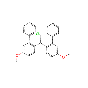 COc1ccc(C(CCl)c2ccc(OC)cc2-c2ccccc2)c(-c2ccccc2)c1